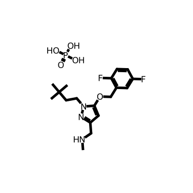 CNCc1cc(OCc2cc(F)ccc2F)n(CCC(C)(C)C)n1.O=P(O)(O)O